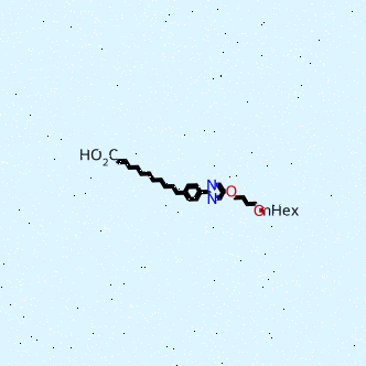 CCCCCCOCCCCOc1cnc(-c2ccc(CCCCCCCCC/C=C/C(=O)O)cc2)nc1